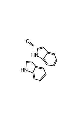 C=O.c1ccc2[nH]ccc2c1.c1ccc2[nH]ccc2c1